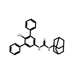 O=C(Nc1cc(-c2ccccc2)c(O)c(-c2ccccc2)c1)NC12CC3CC(CC(C3)C1)C2